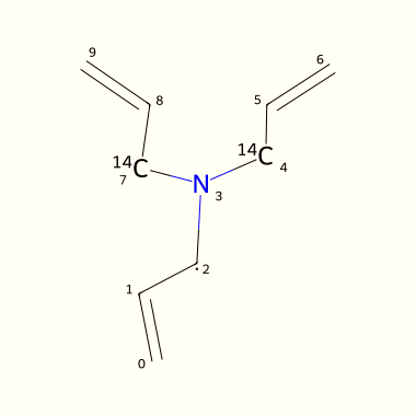 C=C[CH]N([14CH2]C=C)[14CH2]C=C